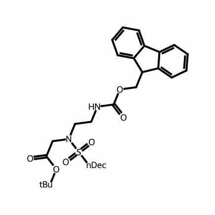 CCCCCCCCCCS(=O)(=O)N(CCNC(=O)OCC1c2ccccc2-c2ccccc21)CC(=O)OC(C)(C)C